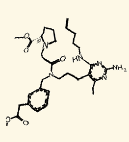 CCCCCNc1nc(N)nc(C)c1CCCN(Cc1cccc(CC(=O)OC)c1)C(=O)CN1CCC[C@H]1C(=O)OC